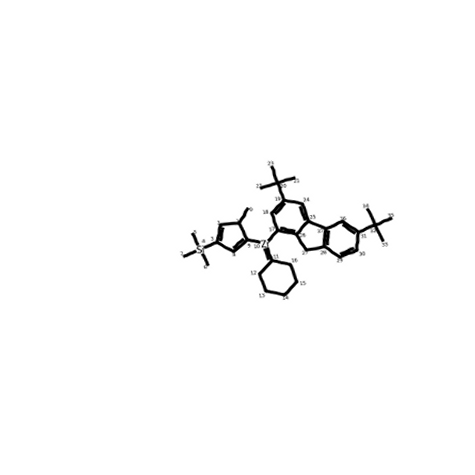 CC1C=C([Si](C)(C)C)C=[C]1[Zr](=[C]1CCCCC1)[c]1cc(C(C)(C)C)cc2c1Cc1ccc(C(C)(C)C)cc1-2